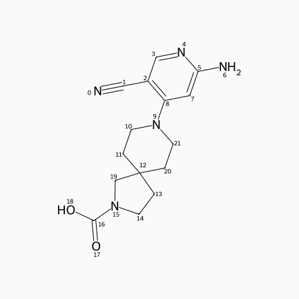 N#Cc1cnc(N)cc1N1CCC2(CCN(C(=O)O)C2)CC1